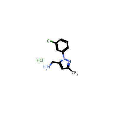 Cl.NCc1cc(C(F)(F)F)nn1-c1cccc(Cl)c1